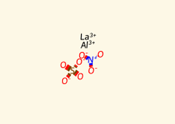 O=S(=O)([O-])[O-].O=[N+]([O-])[O-].[Al+3].[La+3]